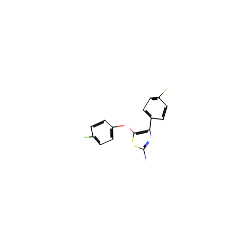 Nc1nc(-c2ccc(F)cc2)c(Oc2ccc(F)cc2)s1